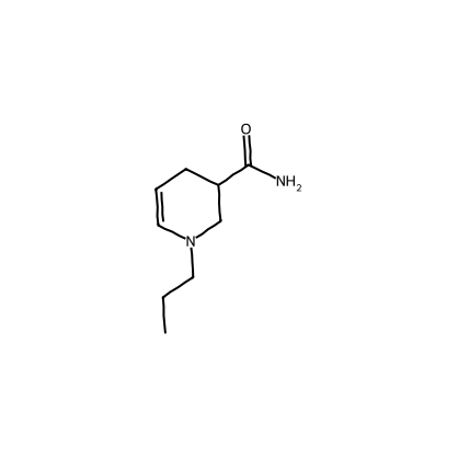 CCCN1C=CCC(C(N)=O)C1